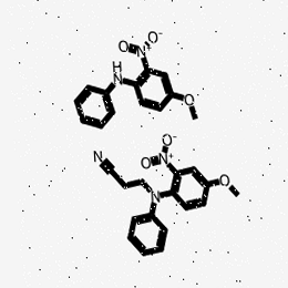 COc1ccc(N(CCC#N)c2ccccc2)c([N+](=O)[O-])c1.COc1ccc(Nc2ccccc2)c([N+](=O)[O-])c1